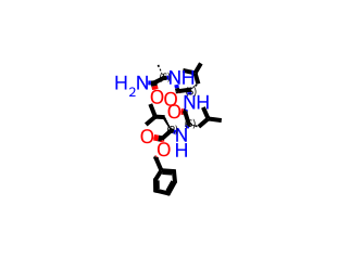 CC(C)C[C@H](NC(=O)[C@H](CC(C)C)N[C@H](CC(C)C)C(=O)OCc1ccccc1)C(=O)N[C@@H](C)C(N)=O